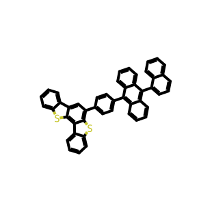 c1ccc2c(-c3c4ccccc4c(-c4ccc(-c5cc6c7ccccc7sc6c6c5sc5ccccc56)cc4)c4ccccc34)cccc2c1